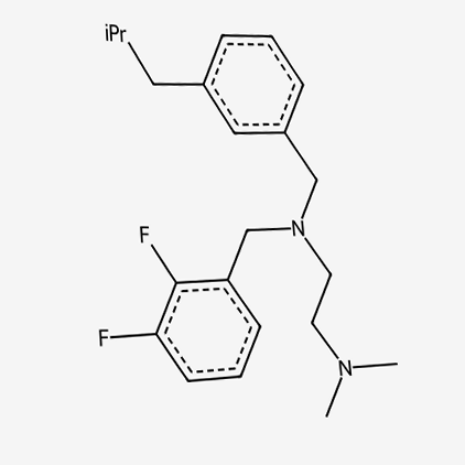 CC(C)Cc1cccc(CN(CCN(C)C)Cc2cccc(F)c2F)c1